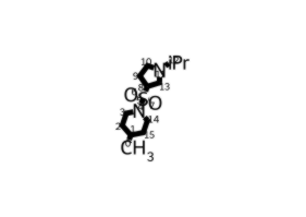 CC1CCN(S(=O)(=O)C2CCN(C(C)C)C2)CC1